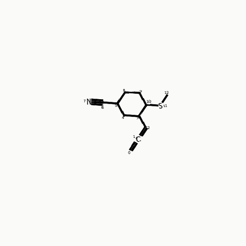 C=C=CC1CC(C#N)CCC1SC